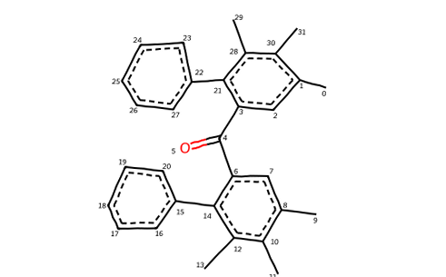 Cc1cc(C(=O)c2cc(C)c(C)c(C)c2-c2ccccc2)c(-c2ccccc2)c(C)c1C